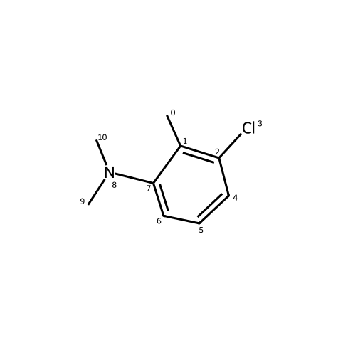 Cc1c(Cl)cccc1N(C)C